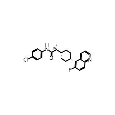 C[C@@H](C(=O)Nc1ccc(Cl)cc1)[C@H]1CC[C@@H](c2c(F)ccc3ncccc32)CC1